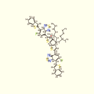 CCCCC(CC)CC1(CC(CC)CCCC)c2cc(-c3cc(F)c(-c4cc5ccccc5s4)c4nsnc34)sc2-c2sc(-c3cc(F)c(-c4cc5ccccc5s4)c4nsnc34)cc21